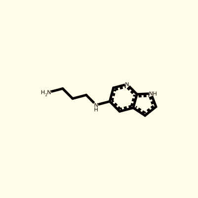 NCCCNc1cnc2[nH]ccc2c1